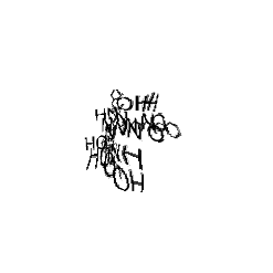 O=C(CO)N[C@H]1C[C@@H](n2cnc3c(N[C@H](CO)Cc4ccccc4)nc(-n4cc(NC(=O)Oc5ccccc5)cn4)nc32)[C@H](O)[C@@H]1O